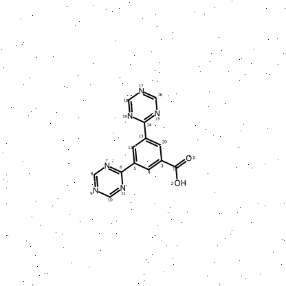 O=C(O)c1cc(-c2ncncn2)cc(-c2ncncn2)c1